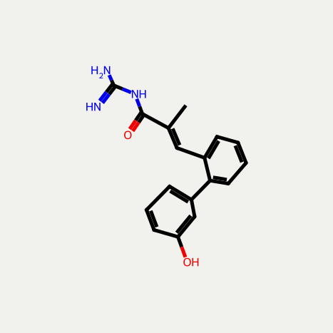 C/C(=C\c1ccccc1-c1cccc(O)c1)C(=O)NC(=N)N